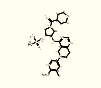 COc1ncc(N2CCc3ncnc(O[C@H]4CCN(C(=O)C5CCOCC5)C4)c3C2)cc1C.O=P(O)(O)O